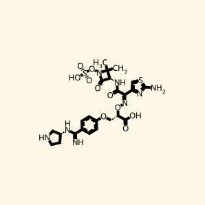 CC1(C)[C@H](NC(=O)/C(=N\O[C@@H](COc2ccc(C(=N)N[C@@H]3CCNC3)cc2)C(=O)O)c2csc(N)n2)C(=O)N1OS(=O)(=O)O